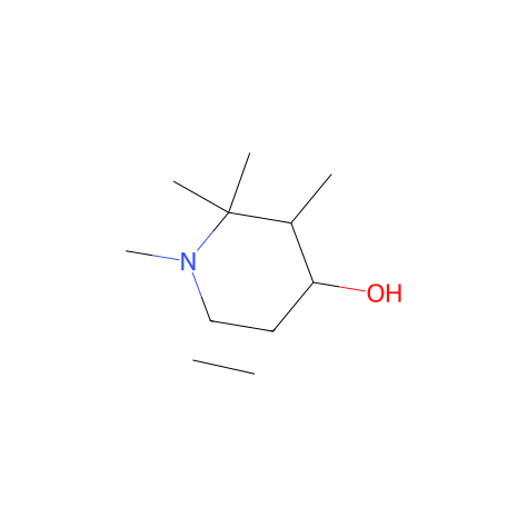 CC.CC1C(O)CCN(C)C1(C)C